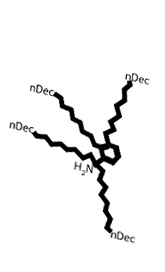 CCCCCCCCCCCCCCCCCCc1cccc(C(N)(CCCCCCCCCCCCCCCCCC)CCCCCCCCCCCCCCCCCC)c1CCCCCCCCCCCCCCCCCC